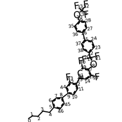 CCCCCc1ccc(-c2ccc(-c3cc(F)c(OC(F)(F)c4ccc(-c5ccc(OC(F)(F)F)cc5)cc4)c(F)c3)c(F)c2)cc1